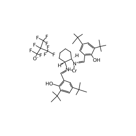 CC(C)(C)c1cc(C=[N+]2[Cr][N+](=Cc3cc(C(C)(C)C)cc(C(C)(C)C)c3O)[C@@H]3CCCC[C@H]32)c(O)c(C(C)(C)C)c1.[O-]C(F)(F)C(F)(C(F)(F)F)C(F)(F)F